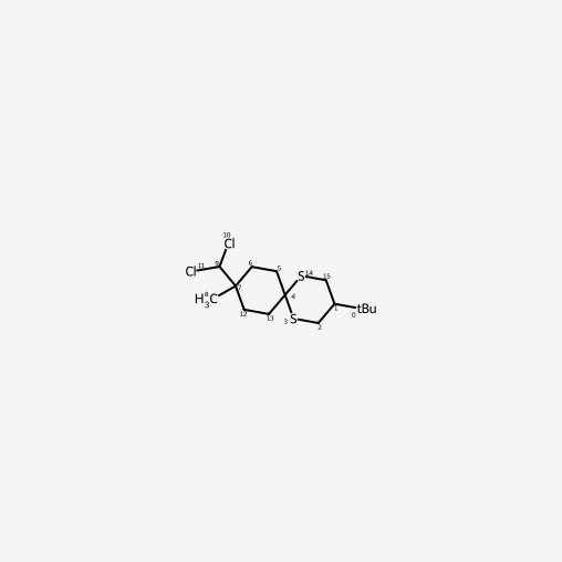 CC(C)(C)C1CSC2(CCC(C)(C(Cl)Cl)CC2)SC1